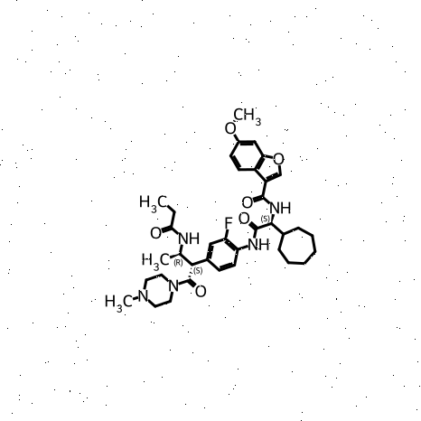 CCC(=O)N[C@H](C)[C@@H](C(=O)N1CCN(C)CC1)c1ccc(NC(=O)[C@@H](NC(=O)c2coc3cc(OC)ccc23)C2CCCCCC2)c(F)c1